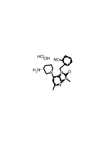 Cc1cc(N2CCC[C@@H](N)C2)c2c(n1)n(C)c(=O)n2Cc1ccccc1C#N.Cl.Cl